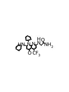 NC(=O)CNc1cc(C(F)(F)F)c2c(=O)cc(Nc3ccccc3)n(-c3ccccc3)c2n1